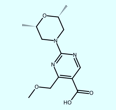 COCc1nc(N2C[C@@H](C)O[C@@H](C)C2)ncc1C(=O)O